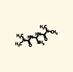 CN(C)C(=O)NC([SiH3])NC(=O)N(C)C